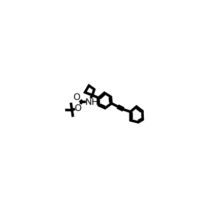 CC(C)(C)OC(=O)NC1(c2ccc(C#Cc3ccccc3)cc2)CCC1